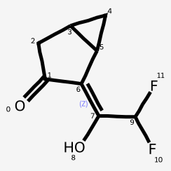 O=C1CC2CC2/C1=C(/O)C(F)F